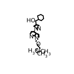 C[Si](C)(C)CCOCn1ccc2c(-n3cc(C(O)C4CCCCC4)cn3)ccnc21